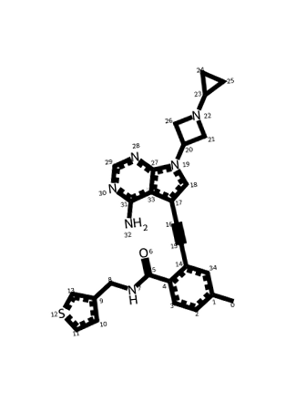 Cc1ccc(C(=O)NCc2ccsc2)c(C#Cc2cn(C3CN(C4CC4)C3)c3ncnc(N)c23)c1